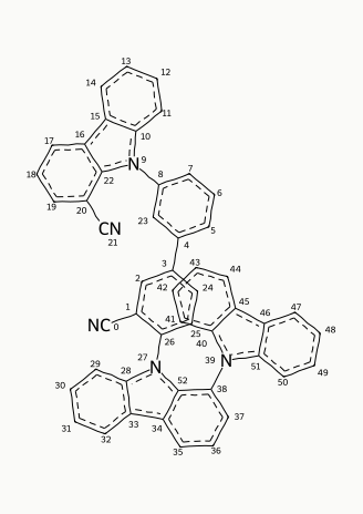 N#Cc1cc(-c2cccc(-n3c4ccccc4c4cccc(C#N)c43)c2)ccc1-n1c2ccccc2c2cccc(-n3c4ccccc4c4ccccc43)c21